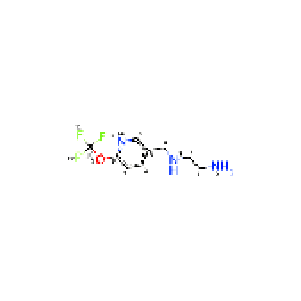 NCCNCc1ccc(OC(F)(F)F)nc1